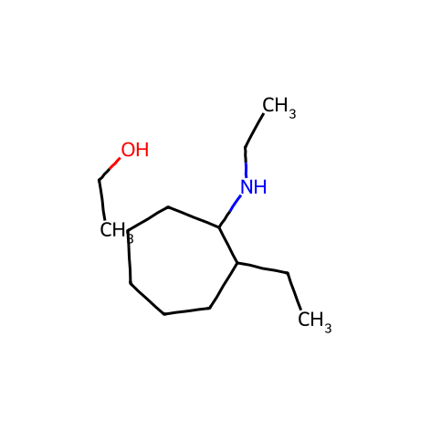 CCNC1CCCCCC1CC.CCO